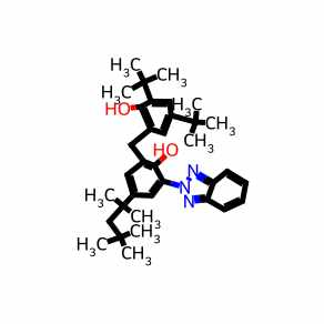 CC(C)(C)CC(C)(C)c1cc(Cc2cc(C(C)(C)C)cc(C(C)(C)C)c2O)c(O)c(-n2nc3ccccc3n2)c1